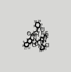 CC(CNC(=O)c1cc2ccccc2c(Cl)c1NC(=O)c1cc(C(F)(F)F)nn1-c1ncccc1Cl)c1ccccc1Cl